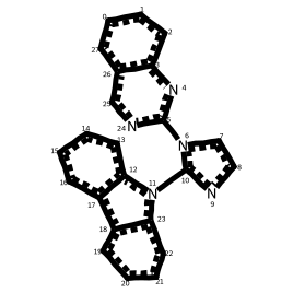 c1ccc2nc(-n3ccnc3-n3c4ccccc4c4ccccc43)ncc2c1